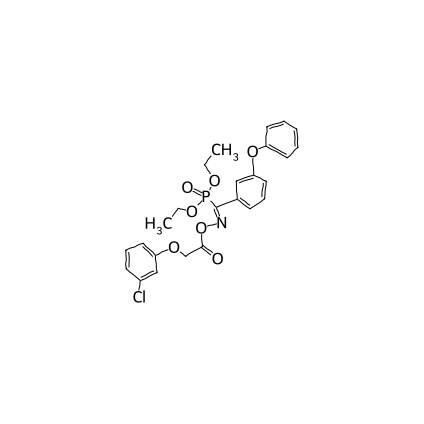 CCOP(=O)(OCC)C(=NOC(=O)COc1cccc(Cl)c1)c1cccc(Oc2ccccc2)c1